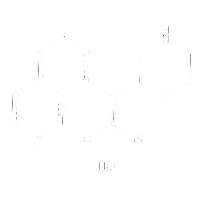 Cl.O=S(=O)=C(c1cccc2ccccc12)C1CCCNC1